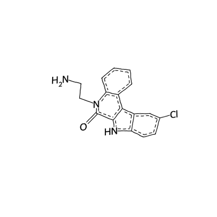 NCCn1c(=O)c2[nH]c3ccc(Cl)cc3c2c2ccccc21